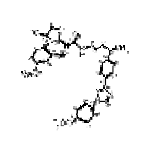 COc1ccc(N2C(=O)CS/C2=N\C(=O)NCCCC(C)c2ccc(-c3ncn(-c4ccc(OC(F)(F)F)cc4)n3)cc2)c(C(C)C)c1